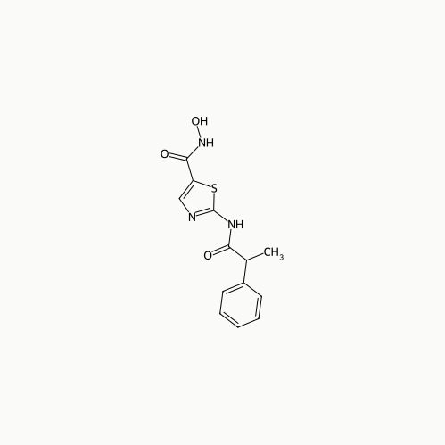 CC(C(=O)Nc1ncc(C(=O)NO)s1)c1ccccc1